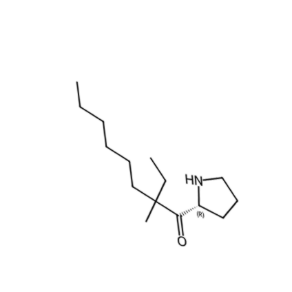 CCCCCCC(C)(CC)C(=O)[C@H]1CCCN1